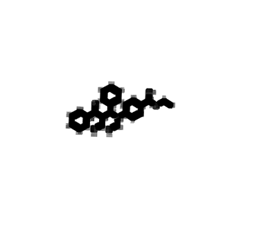 CCOC(=O)c1ccc(N(C=O)C(c2ccccc2)C(C=O)C(=O)c2ccccc2)cc1